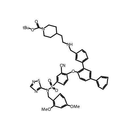 COc1ccc(CN(c2ncns2)S(=O)(=O)c2ccc(Oc3ccc(-c4ccccc4)cc3-c3cccc(CNCCC4CCN(C(=O)OC(C)(C)C)CC4)c3)c(C#N)c2)c(OC)c1